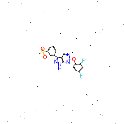 CS(=O)(=O)c1cccc(-c2n[nH]c3nc(Oc4ccc(F)cc4F)ncc23)c1